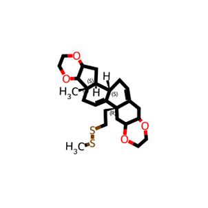 CSSCC[C@]12CC3OCCOC3CC1=CC[C@@H]1C2=CC[C@]2(C)C3OCCOC3C[C@@H]12